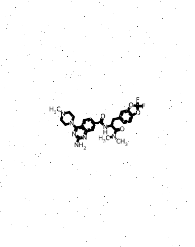 CN1CCN(c2nc(N)nc3cc(C(=O)NC(Cc4ccc5c(c4)OC(F)(F)O5)C(=O)N(C)C)ccc23)CC1